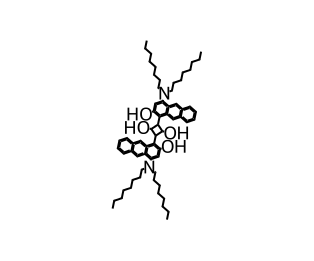 CCCCCCCCN(CCCCCCCC)c1cc(O)c(C2C(O)C(c3c(O)cc(N(CCCCCCCC)CCCCCCCC)c4cc5ccccc5cc34)C2O)c2cc3ccccc3cc12